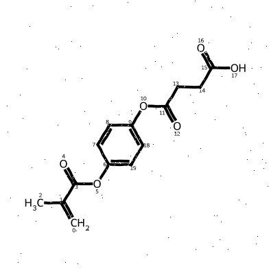 C=C(C)C(=O)Oc1ccc(OC(=O)CCC(=O)O)cc1